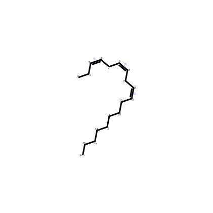 [CH2]C/C=C\C/C=C\C/C=C\CCCCCCC[CH2]